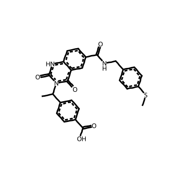 CSc1ccc(CNC(=O)c2ccc3[nH]c(=O)n(C(C)c4ccc(C(=O)O)cc4)c(=O)c3c2)cc1